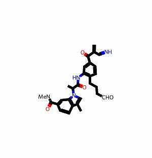 C=C(C=N)C(=O)c1ccc(CCCC=O)c(NC(=O)C(C)n2cc(C)c3ccc(C(=O)NC)cc32)c1